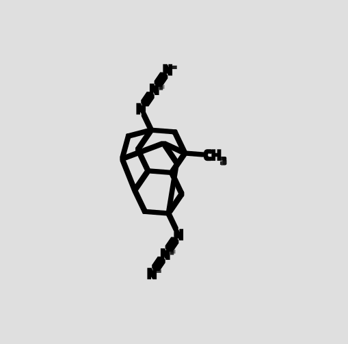 CC12CC3(N=[N+]=[N-])CC4C5CC(N=[N+]=[N-])(CC41)CC2C5C3